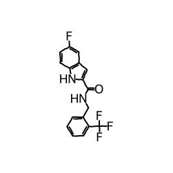 O=C(NCc1ccccc1C(F)(F)F)c1cc2cc(F)ccc2[nH]1